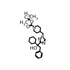 CC(C)(C)OC(=O)N1CCC(Cn2cnc(C(O)(Cc3ccccc3)C3CCCCC3)n2)CC1